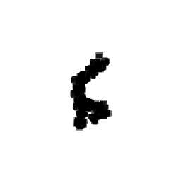 CC(C)n1cnc2cc(-c3ccc4c(c3)N(C3CC(N5CCCCC5)C3)C(=O)C43CCN(C(=O)C4(C)CCN(C(=O)C5CCN(c6ncc([C@H]7CCC(=O)NC7=O)cn6)CC5)CC4)CC3)nc(NC3CC3)c21